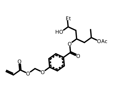 C=CC(=O)OCOc1ccc(C(=O)OC(CC(O)CC)CC(C)OC(C)=O)cc1